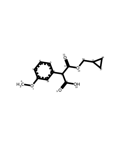 COc1cccc(C(C(=O)O)C(=O)OCC2CC2)c1